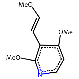 COC=Cc1c(OC)ccnc1OC